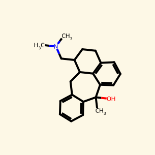 CN(C)CC1CCc2cccc3c2C1Cc1ccccc1C3(C)O